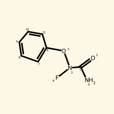 NC(=O)N(F)Oc1ccccc1